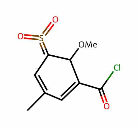 COC1C(C(=O)Cl)=CC(C)=CC1=S(=O)=O